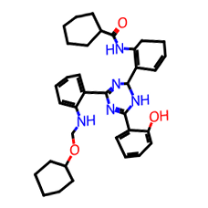 O=C(NC1=C(C2N=C(c3ccccc3NCOC3CCCCC3)N=C(c3ccccc3O)N2)C=CCC1)C1CCCCC1